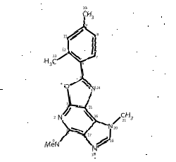 CNc1nc2oc(-c3ccc(C)cc3C)nc2c2c1ncn2C